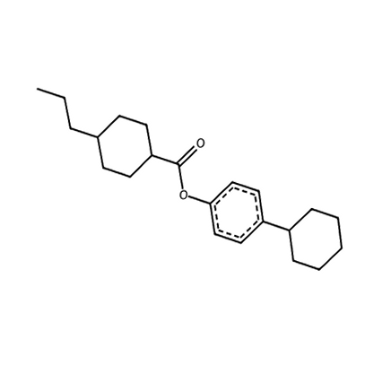 CCCC1CCC(C(=O)Oc2ccc(C3CCCCC3)cc2)CC1